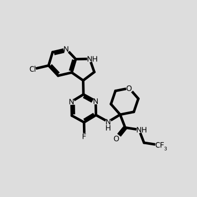 O=C(NCC(F)(F)F)C1(Nc2nc(C3CNc4ncc(Cl)cc43)ncc2F)CCOCC1